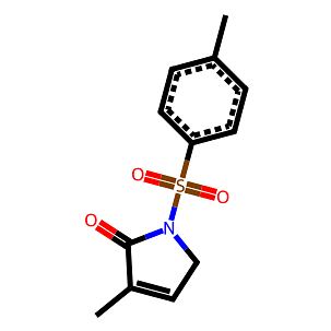 CC1=CCN(S(=O)(=O)c2ccc(C)cc2)C1=O